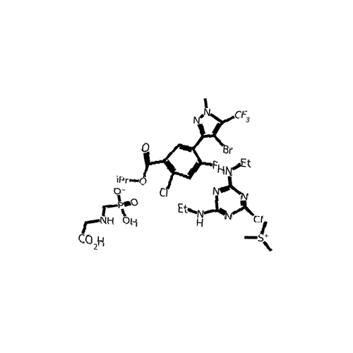 CC(C)OC(=O)c1cc(-c2nn(C)c(C(F)(F)F)c2Br)c(F)cc1Cl.CCNc1nc(Cl)nc(NCC)n1.C[S+](C)C.O=C(O)CNCP(=O)([O-])O